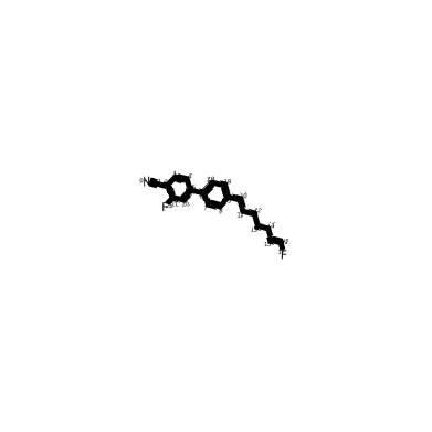 N#Cc1ccc(-c2ccc(CCCCCC=CF)cc2)cc1F